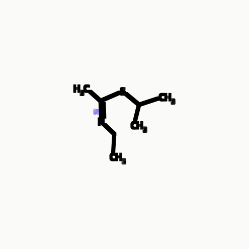 CC/N=C(/C)SC(C)C